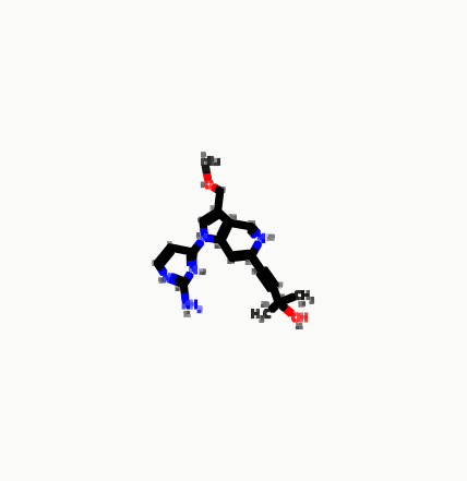 CCCCOCc1cn(-c2ccnc(N)n2)c2cc(C#CC(C)(C)O)ncc12